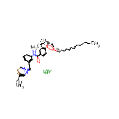 Br.CCCCCCCCCCCCOc1ccc(C(=O)Nc2cccc(CN3C=C(C)SC3)c2)cc1C(C)(C)C